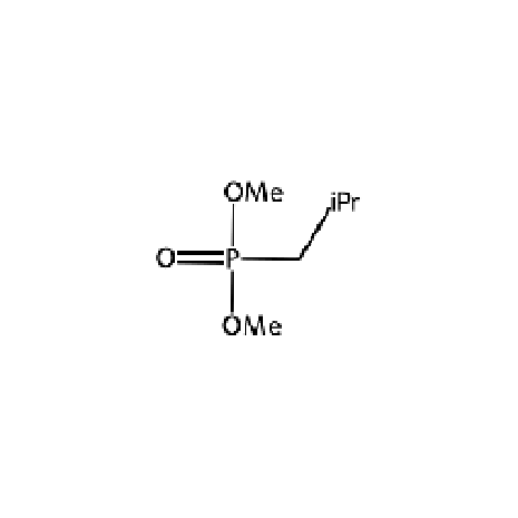 COP(=O)(CC(C)C)OC